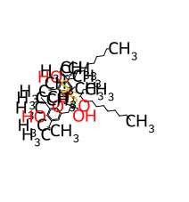 CCCCCCCCCC(CC)SC(CC)(OC(=O)C(Cc1cc(C(C)(C)C)c(O)c(C(C)(C)C)c1)(Cc1cc(C(C)(C)C)c(O)c(C(C)(C)C)c1)C(=O)O)SC(CC)CCCCCCCCC